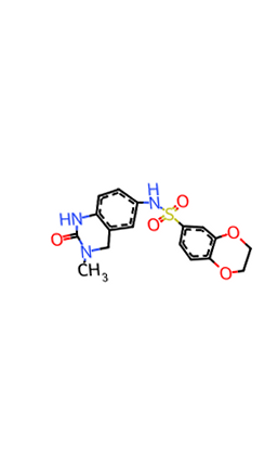 CN1Cc2cc(NS(=O)(=O)c3ccc4c(c3)OCCO4)ccc2NC1=O